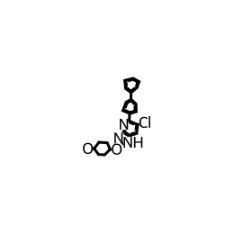 O=C1CCC(Oc2nc3nc(-c4ccc(-c5ccccc5)cc4)c(Cl)cc3[nH]2)CC1